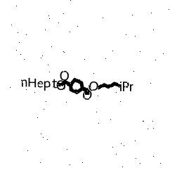 CCCCCCCOC(=O)C1CCC(C(=O)OCCCCC(C)C)CC1